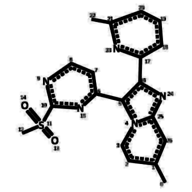 Cc1ccn2c(-c3ccnc(S(C)(=O)=O)n3)c(-c3cccc(C)n3)nc2c1